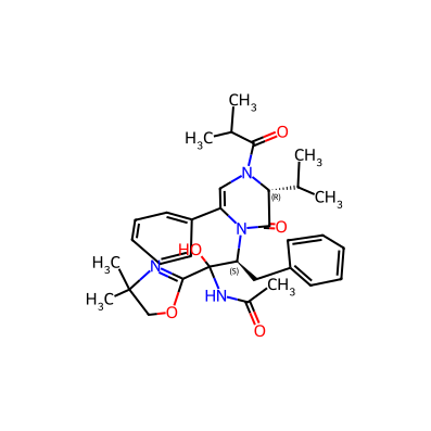 CC(=O)NC(O)(C1=NC(C)(C)CO1)[C@H](Cc1ccccc1)N1C(=O)[C@@H](C(C)C)N(C(=O)C(C)C)C=C1c1ccccc1